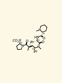 C/C(=C\[C@H](C(C)C)N(C)C(=O)[C@@H](NC(=O)[C@H]1CCCCN1C)C(C)C)C(=O)N1CCC[C@H]1C(=O)O